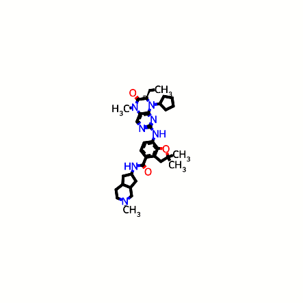 CC[C@@H]1C(=O)N(C)c2cnc(Nc3ccc(C(=O)NC4CC5CCN(C)CC5C4)c4c3OC(C)(C)C4)nc2N1C1CCCC1